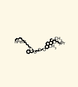 CCCCC/C=C\C/C=C\CCCCCCCCOCC(CC1CCCCC1)OCCOCCO[C@H]1CC[C@@]2(C)C(=CCC3C2CC[C@@]2(C)C3CC[C@@H]2[C@H](C)CCCC(C)C)C1